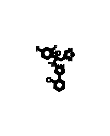 C[C@@H](n1cc(-c2ccccc2Cl)cn1)[C@](O)(Cn1cncn1)c1ccc(F)cc1F